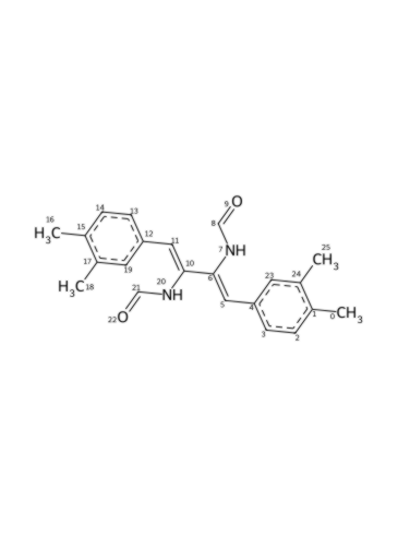 Cc1ccc(C=C(NC=O)C(=Cc2ccc(C)c(C)c2)NC=O)cc1C